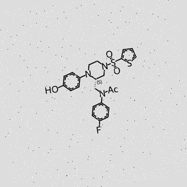 CC(=O)N(C[C@H]1CN(S(=O)(=O)c2cccs2)CCN1c1ccc(O)cc1)c1ccc(F)cc1